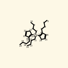 CCCCC1=[C]([Zr]([CH2]CCC)([CH2]CCC)[C]2=C(CCCC)C=CC2)CC=C1